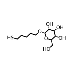 OC[C@H]1O[C@H](OCCCCCS)[C@H](O)[C@@H](O)[C@H]1O